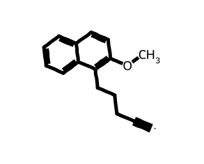 [C]#CCCCc1c(OC)ccc2ccccc12